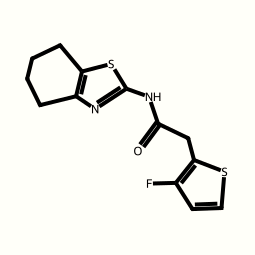 O=C(Cc1sccc1F)Nc1nc2c(s1)CCCC2